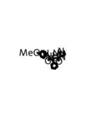 COc1ccc(NC(=O)C(OC(=O)c2nccnc2N)c2ccccc2)cc1